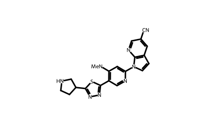 CNc1cc(-n2ccc3cc(C#N)cnc32)ncc1-c1nnc(C2CCNC2)s1